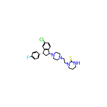 Fc1ccc([C@H]2C[C@H](N3CCN(CCN4CCCNC4=S)CC3)c3ccc(Cl)cc32)cc1